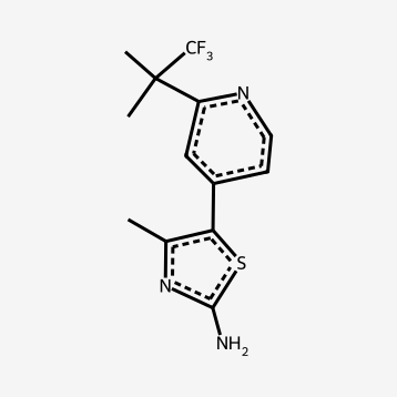 Cc1nc(N)sc1-c1ccnc(C(C)(C)C(F)(F)F)c1